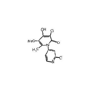 COc1c(O)c(Cl)c(=O)n(-c2ccnc(Cl)c2)c1C